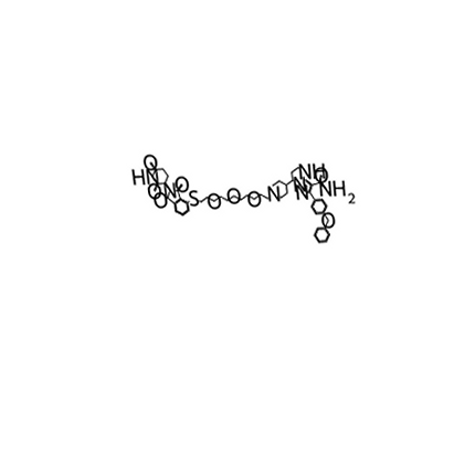 NC(=O)c1c(-c2ccc(Oc3ccccc3)cc2)nn2c1NCCC2C1CCN(CCOCCOCCOCCSc2cccc3c2C(=O)N(C2CCC(=O)NC2=O)C3=O)CC1